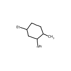 CCCC1CC(CC)CC[C]1C